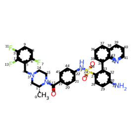 C[C@@H]1CN(Cc2c(F)ccc(F)c2F)CCN1C(=O)c1ccc(NS(=O)(=O)c2ccc(N)cc2-c2cccc3cccnc23)cc1